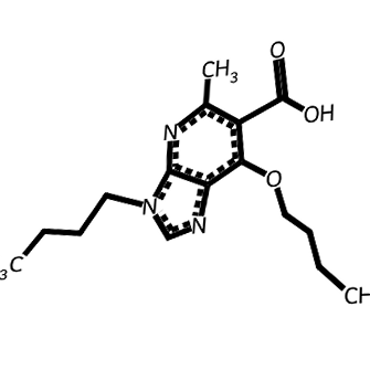 CCCCOc1c(C(=O)O)c(C)nc2c1ncn2CCCC